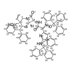 C=CC1(C(=O)O)CN2C(=O)C(NC(=O)C(=NOC(c3ccccc3)(c3ccccc3)c3ccccc3)c3csc(NC(c4ccccc4)(c4ccccc4)c4ccccc4)n3)[C@H]2SC1C(c1ccccc1)c1ccccc1